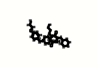 CCCCN1C(=O)C(CC2CCCCC2)NC(=O)C12CCN(Cc1ccc(OCCC)cc1)CC2